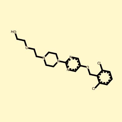 OCCOCCN1CCN(c2ncc(OCc3c(Cl)cccc3Cl)cn2)CC1